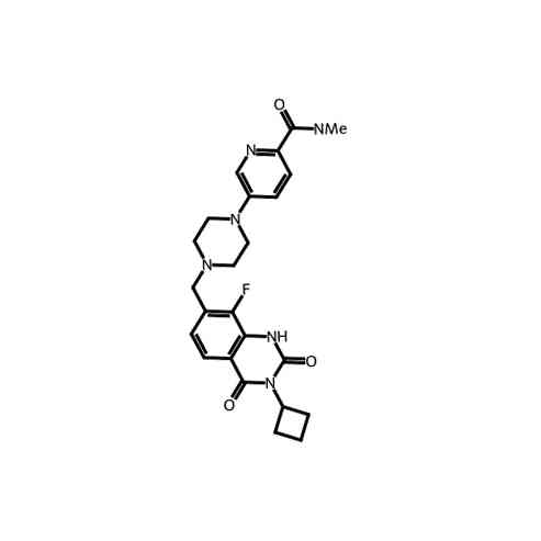 CNC(=O)c1ccc(N2CCN(Cc3ccc4c(=O)n(C5CCC5)c(=O)[nH]c4c3F)CC2)cn1